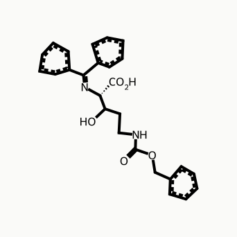 O=C(NCCC(O)[C@H](N=C(c1ccccc1)c1ccccc1)C(=O)O)OCc1ccccc1